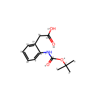 CC(C)(C)OC(=O)Nc1ccccc1CC(=O)O